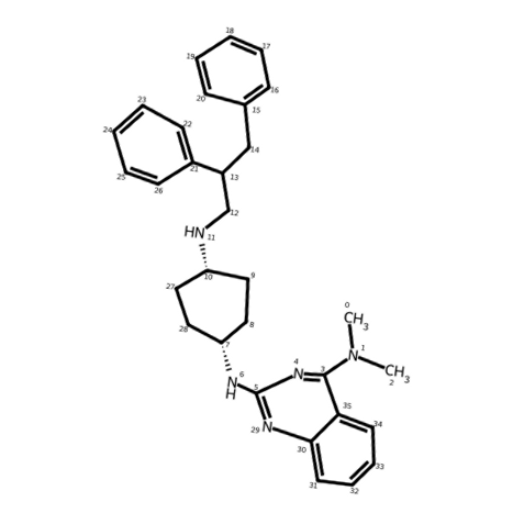 CN(C)c1nc(N[C@H]2CC[C@@H](NCC(Cc3ccccc3)c3ccccc3)CC2)nc2ccccc12